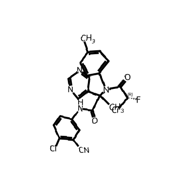 Cc1ccc(N(C(=O)[C@H](F)Cl)C(C)(C(=O)Nc2ccc(Cl)c(C#N)c2)c2cncnc2)cc1